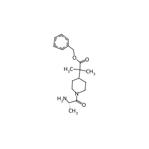 C[C@H](N)C(=O)N1CCC(C(C)(C)C(=O)OCc2ccccc2)CC1